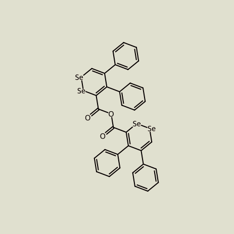 O=C(OC(=O)C1=C(c2ccccc2)C(c2ccccc2)=C[Se][Se]1)C1=C(c2ccccc2)C(c2ccccc2)=C[Se][Se]1